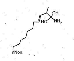 CCCCCCCCCCCCCCCCC=CC(C)C(N)(O)O